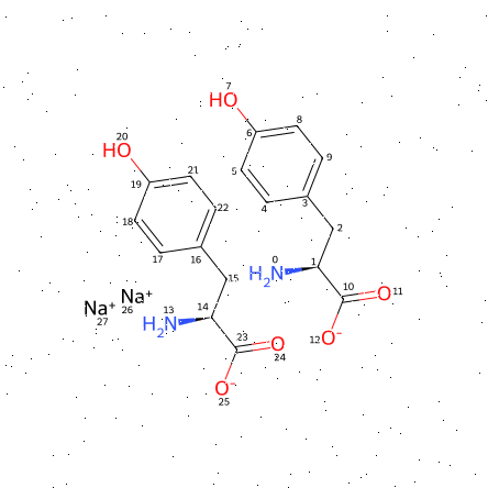 N[C@@H](Cc1ccc(O)cc1)C(=O)[O-].N[C@@H](Cc1ccc(O)cc1)C(=O)[O-].[Na+].[Na+]